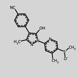 Cc1cc(-n2nc(C)c(-c3ccc(C#N)cc3)c2O)ncc1[S+](C)[O-]